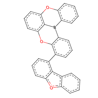 c1ccc2c(c1)Oc1cccc3c1B2c1cccc(-c2cccc4oc5ccccc5c24)c1O3